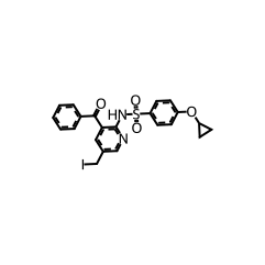 O=C(c1ccccc1)c1cc(CI)cnc1NS(=O)(=O)c1ccc(OC2CC2)cc1